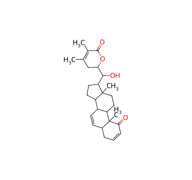 CC1=C(C)C(=O)OC(C(O)C2CCC3C4C=CC5CC=CC(=O)C5(C)C4CCC23C)C1